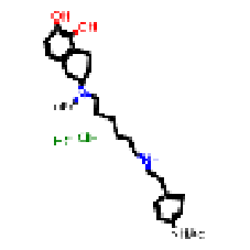 CCCN(CCCCCCNCCc1ccc(NC(C)=O)cc1)C1CCc2c(ccc(O)c2O)C1.Cl.Cl